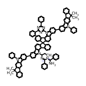 CCC(/N=C(\N=C(/N)c1ccccc1)c1ccccc1)n1c2ccc(-c3ccc4c(c3)c3cc5c(cc3n4-c3ccccc3)C(C)(C)c3ccccc3-5)cc2c2ccc3c(c21)-c1ccccc1C31c2ccccc2-c2c1ccc1c3cc(-c4ccc5c(c4)c4cc6c(cc4n5-c4ccccc4)C(C)(C)c4ccccc4-6)ccc3n(-c3nc(-c4ccccc4)nc(-c4ccccc4)n3)c21